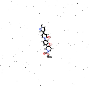 Cc1ccc(-c2ccn(-c3ccc4c5c(oc4c3)CCN(C(=O)OC(C)(C)C)C5)c(=O)c2)cn1